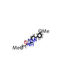 COCCC(=O)Nc1cn2nc(-c3cccc(OC)c3)ccc2n1